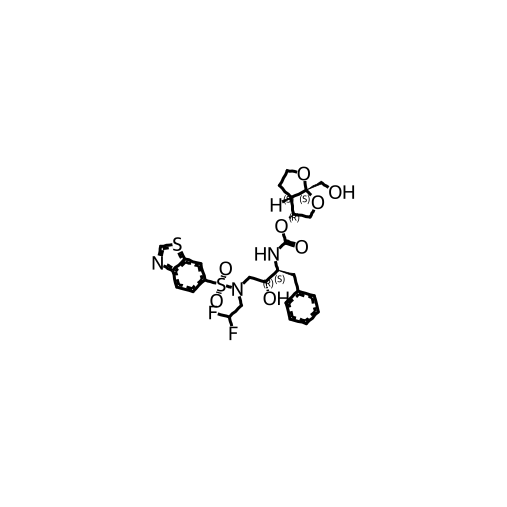 O=C(N[C@@H](Cc1ccccc1)[C@H](O)CN(CC(F)F)S(=O)(=O)c1ccc2ncsc2c1)O[C@H]1CO[C@@]2(CO)OCC[C@@H]12